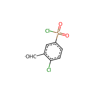 O=[C]c1cc(S(=O)(=O)Cl)ccc1Cl